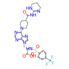 O=C(NC1=NCCCN1)C1CCN(c2ncnc3c2ncn3C[C@H](NS(=O)(=O)c2ccc(C(F)(F)F)cc2)C(=O)O)CC1